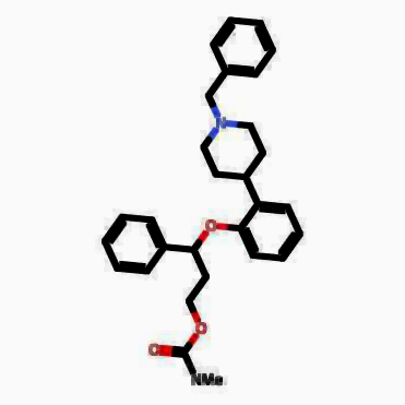 CNC(=O)OCCC(Oc1ccccc1C1CCN(Cc2ccccc2)CC1)c1ccccc1